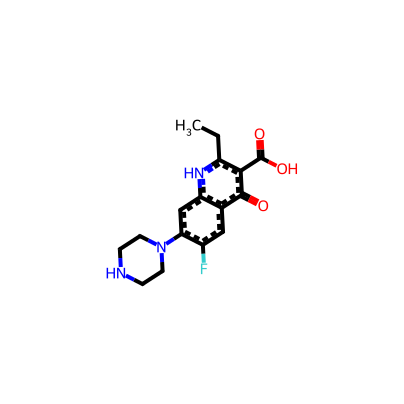 CCc1[nH]c2cc(N3CCNCC3)c(F)cc2c(=O)c1C(=O)O